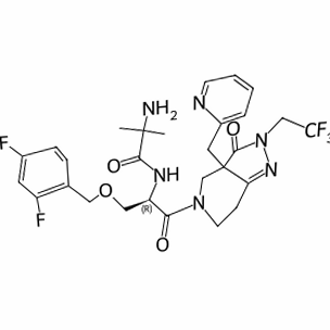 CC(C)(N)C(=O)N[C@H](COCc1ccc(F)cc1F)C(=O)N1CCC2=NN(CC(F)(F)F)C(=O)C2(Cc2ccccn2)C1